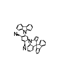 N#Cc1cc(C#N)c(-n2c3ccccc3c3ccccc32)cc1N1c2ccccc2C2(c3ccccc3-c3ccccc32)c2ccccc21